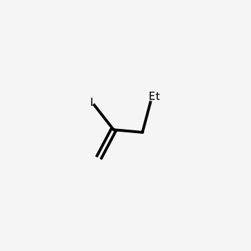 C=C(I)CCC